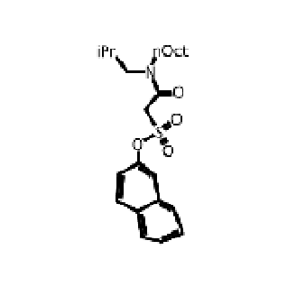 CCCCCCCCN(CC(C)C)C(=O)CS(=O)(=O)Oc1ccc2ccccc2c1